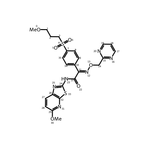 COCCCS(=O)(=O)c1ccc(/C(=N\OCc2ncccn2)C(=O)Nc2nc3ccc(OC)nc3s2)cc1